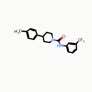 Cc1ccc(C2CCN(C(=O)Nc3cccc(C(F)(F)F)c3)CC2)cc1